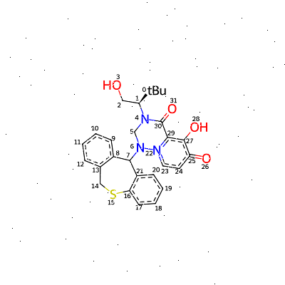 CC(C)(C)[C@H](CO)N1CN(C2c3ccccc3CSc3ccccc32)n2ccc(=O)c(O)c2C1=O